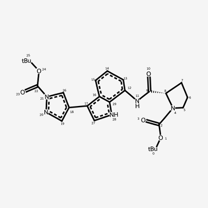 CC(C)(C)OC(=O)N1CCC[C@H]1C(=O)Nc1cccc2c(-c3cnn(C(=O)OC(C)(C)C)c3)c[nH]c12